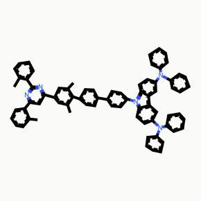 Cc1ccccc1-c1cc(-c2cc(C)c(-c3ccc(-c4ccc(-n5c6ccc(N(c7ccccc7)c7ccccc7)cc6c6cc(N(c7ccccc7)c7ccccc7)ccc65)cc4)cc3)c(C)c2)nc(-c2ccccc2C)n1